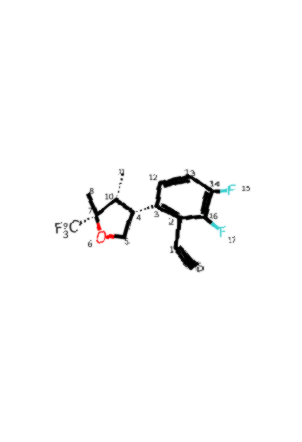 C=Cc1c([C@@H]2CO[C@](C)(C(F)(F)F)[C@@H]2C)ccc(F)c1F